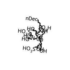 CCCCCCCCCCCCCCCCC[N+](C)(C)CCC[Si](OCCN(CCO)CC(O)CS(=O)(=O)O)(OCCN(CCO)CC(O)CS(=O)(=O)O)OCCN(CCO)CC(O)CS(=O)(=O)O